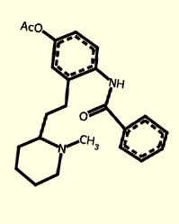 CC(=O)Oc1ccc(NC(=O)c2ccccc2)c(CCC2CCCCN2C)c1